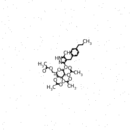 CCCc1ccc(Cc2c(O[C@@H]3O[C@H](COC(C)=O)[C@@H](OC(C)=O)[C@H](OC(C)=O)[C@H]3OC(C)=O)n[nH]c2C)cc1